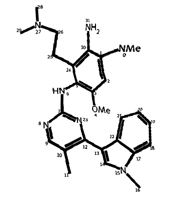 CNc1cc(OC)c(Nc2ncc(C)c(-c3cn(C)c4ccccc34)n2)c(CCN(C)C)c1N